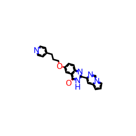 O=c1[nH]c(-c2cc3cccn3cn2)nc2ccc(OCCCc3ccncc3)cc12